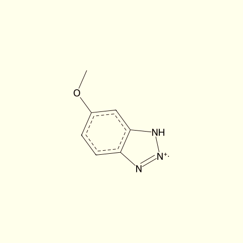 COc1ccc2c(c1)N[N+]=N2